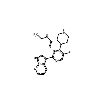 O=C(NCC(F)(F)F)[C@@H]1CNCCN1c1nc(-c2c[nH]c3ncccc23)ncc1F